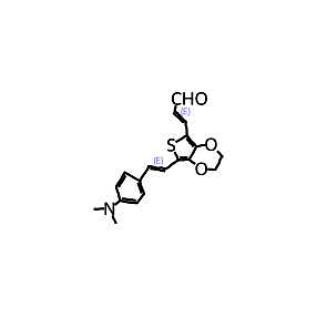 CN(C)c1ccc(/C=C/c2sc(/C=C/C=O)c3c2OCCO3)cc1